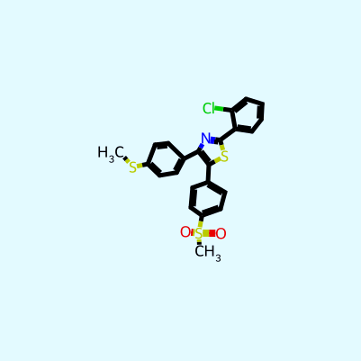 CSc1ccc(-c2nc(-c3ccccc3Cl)sc2-c2ccc(S(C)(=O)=O)cc2)cc1